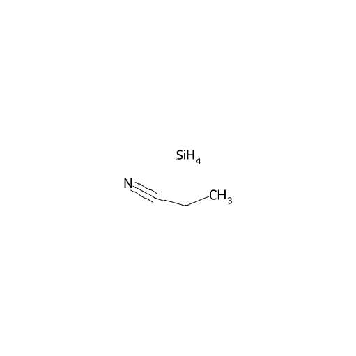 CCC#N.[SiH4]